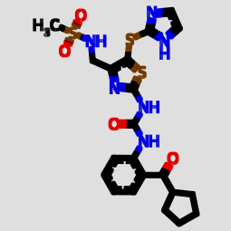 CS(=O)(=O)NCc1nc(NC(=O)Nc2ccccc2C(=O)C2CCCC2)sc1Sc1ncc[nH]1